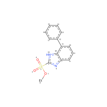 CCOS(=O)(=O)c1nc2cccc(-c3ccccc3)c2[nH]1